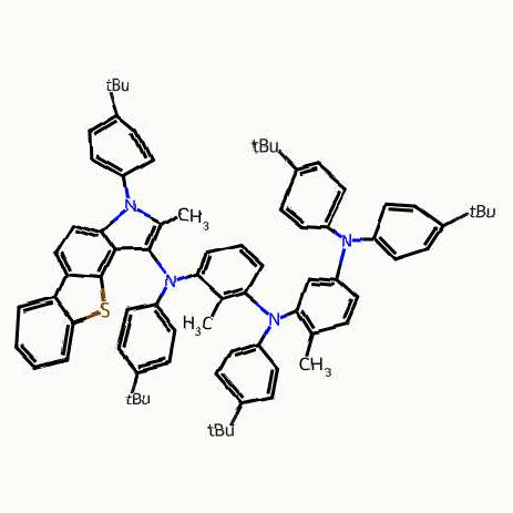 Cc1ccc(N(c2ccc(C(C)(C)C)cc2)c2ccc(C(C)(C)C)cc2)cc1N(c1ccc(C(C)(C)C)cc1)c1cccc(N(c2ccc(C(C)(C)C)cc2)c2c(C)n(-c3ccc(C(C)(C)C)cc3)c3ccc4c5ccccc5sc4c23)c1C